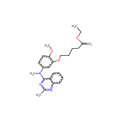 C=C(CCCCOc1cc(N(C)c2nc(C)nc3ccccc23)ccc1OC)OCC